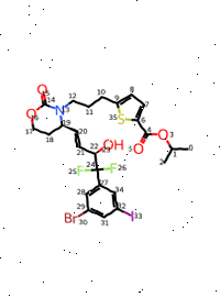 CC(C)OC(=O)c1ccc(CCCN2C(=O)OCC[C@@H]2C=C[C@@H](O)C(F)(F)c2cc(Br)cc(I)c2)s1